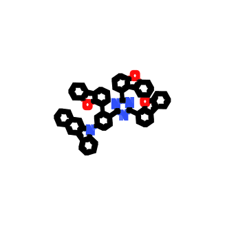 c1ccc2cc3c(cc2c1)c1ccccc1n3-c1ccc(-c2nc(-c3cccc4c3oc3ccccc34)nc(-c3cccc4oc5ccccc5c34)n2)c(-c2cccc3c2oc2ccccc23)c1